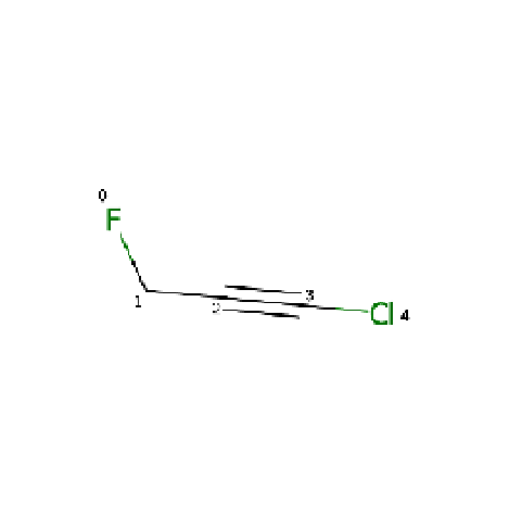 FCC#CCl